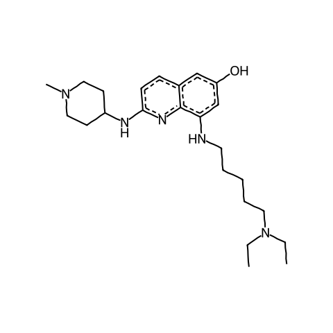 CCN(CC)CCCCCNc1cc(O)cc2ccc(NC3CCN(C)CC3)nc12